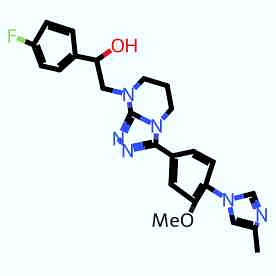 COc1cc(-c2nnc3n2CCCN3CC(O)c2ccc(F)cc2)ccc1-n1cnc(C)c1